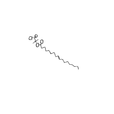 CCCCCCCC/C=C/CCCCCCCC(=O)OC(C)(C)C(=O)Cl